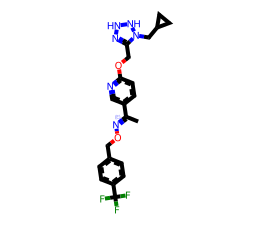 C/C(=N\OCc1ccc(C(F)(F)F)cc1)c1ccc(OCC2=NNNN2CC2CC2)nc1